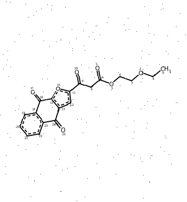 CCOCCOC(=O)CC(=O)c1cc2c(o1)C(=O)c1ccccc1C2=O